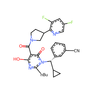 CCCCc1nc(O)c(C(=O)N2CCC(c3ncc(F)cc3F)C2)c(=O)n1[C@H](c1cccc(C#N)c1)C1CC1